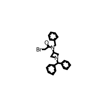 O=C(CBr)N(Cc1ccccc1)C1CN(C(c2ccccc2)c2ccccc2)C1